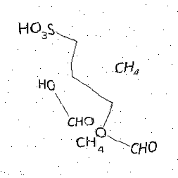 C.C.O=CO.O=COCCCS(=O)(=O)O